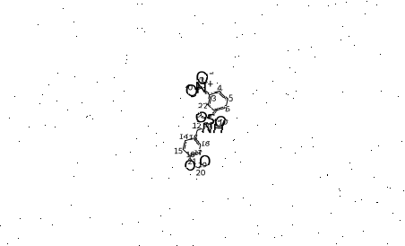 O=[N+]([O-])c1cccc(S(=O)(=O)NCc2ccc3c(c2)OCO3)c1